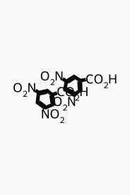 O=C(O)c1cc([N+](=O)[O-])cc([N+](=O)[O-])c1.O=C(O)c1cc([N+](=O)[O-])cc([N+](=O)[O-])c1